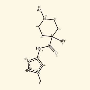 CCCC1(C(=O)Nc2cc(C)[nH]n2)CCN(C(C)=O)CC1